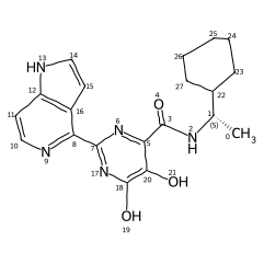 C[C@H](NC(=O)c1nc(-c2nccc3[nH]ccc23)nc(O)c1O)C1CCCCC1